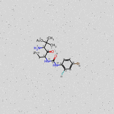 CC(=O)OC(C)(C)C(N)C(=O)C(CC(C)C)NC(=O)Nc1ccc(Br)cc1F